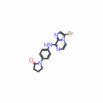 O=C1CCCN1c1ccc(Nc2nccn3c(Br)cnc23)cc1